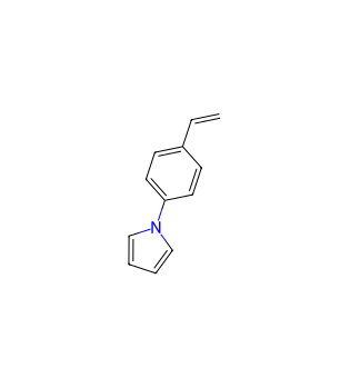 C=Cc1ccc(-n2cccc2)cc1